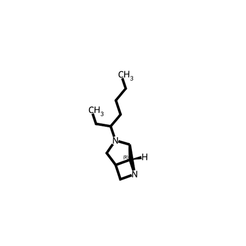 CCCCC(CC)N1CC2CN3C1[C@@H]23